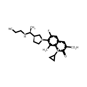 Cc1c(N2CC[C@@H]([C@H](C)NCCC#N)C2)c(F)cc2cc(C(=O)O)c(=O)n(C3CC3)c12